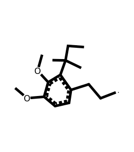 [CH2]CCc1ccc(OC)c(OC)c1C(C)(C)CC